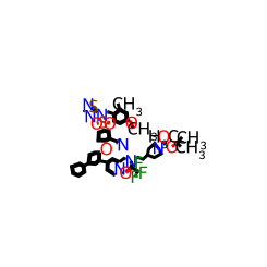 COc1ccc(CN(c2ncns2)S(=O)(=O)c2ccc(Oc3ccc(-c4ccccc4)cc3-c3ccnc(CN(CCC4CCN(C(=O)OC(C)(C)C)CC4)C(=O)C(F)(F)F)c3)c(C#N)c2)c(C)c1